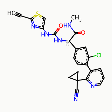 C#Cc1nc(NC(=O)N[C@@H](C(=O)NC)c2ccc(-c3cccnc3C3(C#N)CC3)c(Cl)c2)cs1